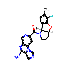 Nc1nc2cnc(C(=O)N3CCC[C@@H]4Oc5c(ccc(C(F)(F)F)c5F)[C@@H]43)cc2n2cncc12